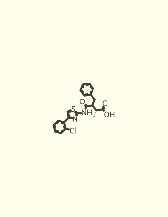 C[C@@H](C(=O)O)C(Cc1ccccc1)C(=O)Nc1nc(-c2ccccc2Cl)cs1